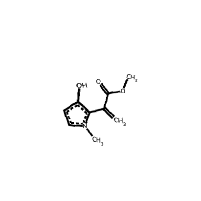 C=C(C(=O)OC)c1c(O)ccn1C